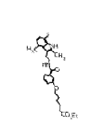 CCOC(=O)CCCCCOc1cccc(C(=O)NCCc2c(C)[nH]c3c(F)ccc(C)c23)c1